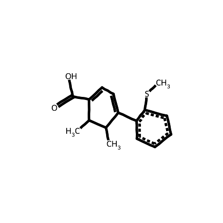 CSc1ccccc1C1=CC=C(C(=O)O)C(C)C1C